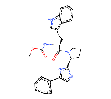 COC(=O)N[C@@H](Cc1c[nH]c2ccccc12)C(=O)N1CCC[C@H]1c1ncc(-c2ccccc2)[nH]1